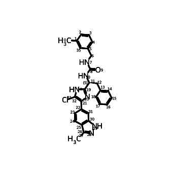 Cc1cccc(CNC(=O)N[C@@H](Cc2ccccc2)c2nc(-c3ccc4c(C)n[nH]c4c3)c(Cl)[nH]2)c1